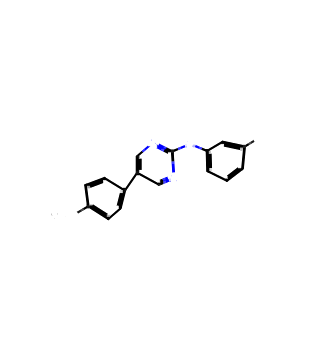 COc1ccc(-c2cnc(Nc3cccc(C=O)c3)nc2)cc1